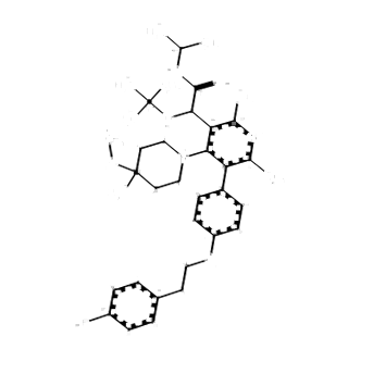 COC1(C)CCN(c2c(-c3ccc(OCCc4ccc(F)cc4)cc3)c(C)nc(C)c2C(OC(C)(C)C)C(=O)OC(C)C)CC1